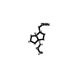 CC(=O)NC[C@H]1CC[C@@]2(COC(C)C)CCCN12